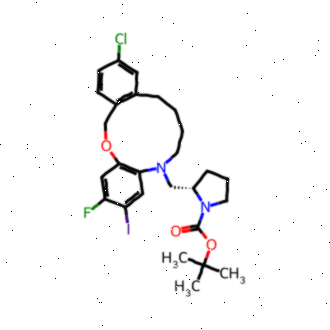 CC(C)(C)OC(=O)N1CCC[C@H]1CN1CCCCc2cc(Cl)ccc2COc2cc(F)c(I)cc21